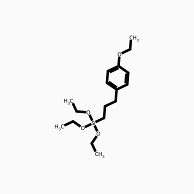 CCOc1ccc(CCC[Si](OCC)(OCC)OCC)cc1